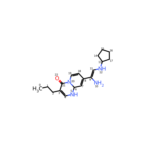 CCCC1=CNC2C=C(/C(N)=C/NC3CCCC3)C=CN2C1=O